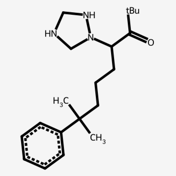 CC(C)(C)C(=O)C(CCCC(C)(C)c1ccccc1)N1CNCN1